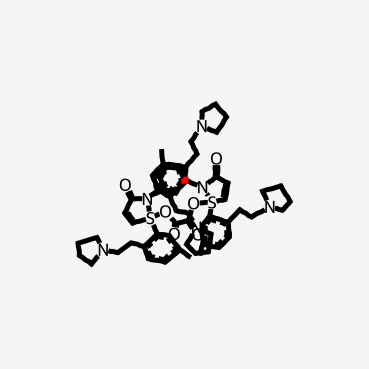 Cc1ccc(CCN2CCCC2)c(N2C(=O)C=CS2(OC(=O)C(=O)OS2(c3cc(C)ccc3CCN3CCCC3)C=CC(=O)N2c2cc(C)ccc2CCN2CCCC2)c2cc(C)ccc2CCN2CCCC2)c1